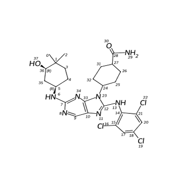 CC1(C)CC[C@@H](Nc2ncc3nc(Nc4c(Cl)cc(Cl)cc4Cl)n(C4CCC(C(N)=O)CC4)c3n2)C[C@H]1O